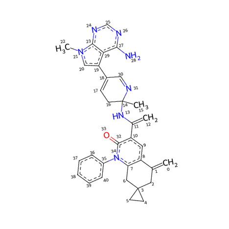 C=C1CC2(CC2)Cc2c1cc(C(=C)NC1(C)CC=C(c3cn(C)c4ncnc(N)c34)C=N1)c(=O)n2-c1ccccc1